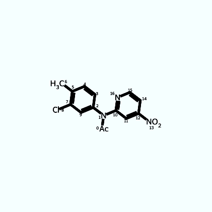 CC(=O)N(c1ccc(C)c(Cl)c1)c1cc([N+](=O)[O-])ccn1